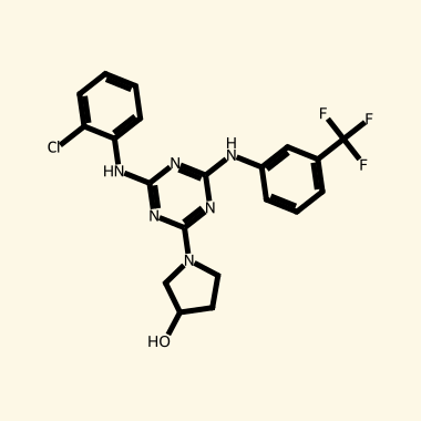 OC1CCN(c2nc(Nc3cccc(C(F)(F)F)c3)nc(Nc3ccccc3Cl)n2)C1